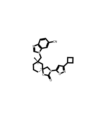 C[C@]1(Cn2cnc3ccc(C#N)cc32)CCC[C@@]2(CN(c3cc(C4CCC4)no3)C(=O)O2)C1